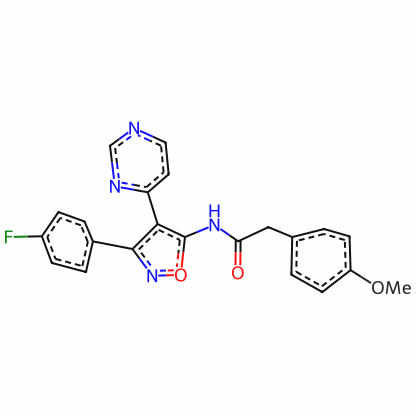 COc1ccc(CC(=O)Nc2onc(-c3ccc(F)cc3)c2-c2ccncn2)cc1